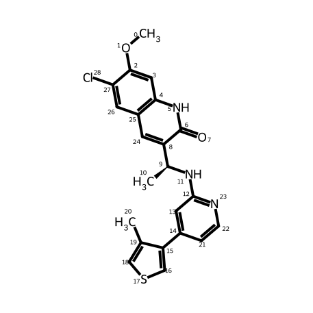 COc1cc2[nH]c(=O)c([C@H](C)Nc3cc(-c4cscc4C)ccn3)cc2cc1Cl